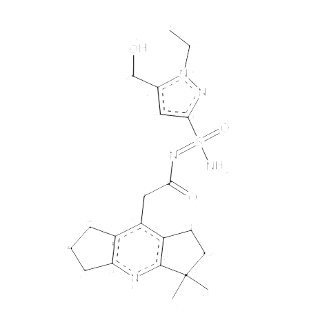 CCn1nc(S(N)(=O)=NC(=O)Cc2c3c(nc4c2CCC4(C)C)CCC3)cc1CO